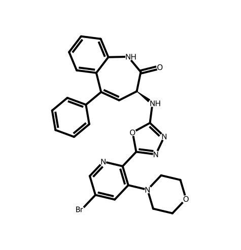 O=C1Nc2ccccc2C(c2ccccc2)=C[C@@H]1Nc1nnc(-c2ncc(Br)cc2N2CCOCC2)o1